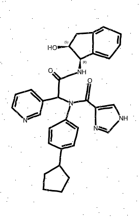 O=C(N[C@@H]1c2ccccc2C[C@@H]1O)C(c1cccnc1)N(C(=O)c1c[nH]cn1)c1ccc(C2CCCC2)cc1